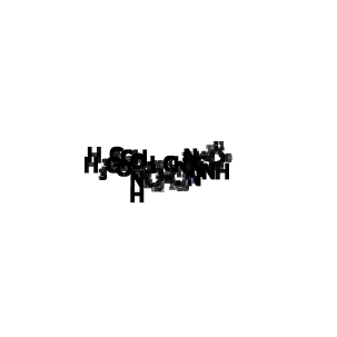 Cc1[nH]/c(=N\C(=N)Nc2ccccc2C#N)ccc1-c1ccc(NC(=O)OC(C)(C)C)cc1